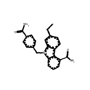 CCc1c[c]c2c3c(C(N)=O)cccc3n(Cc3ccc(C(N)=O)cc3)c2c1